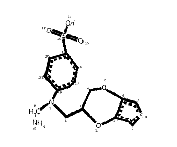 CN(CC1COc2cscc2O1)c1ccc(S(=O)(=O)O)cc1.N